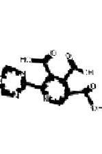 O=C(O)c1cnc(-c2ncncn2)c(C(=O)O)c1C(=O)O